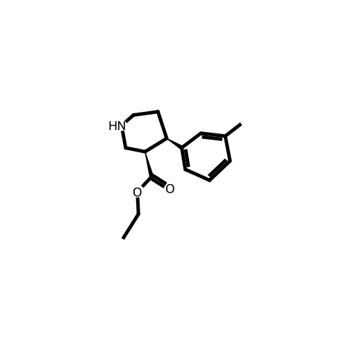 CCOC(=O)[C@H]1CNCC[C@H]1c1cccc(C)c1